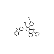 N#Cc1cccc(-c2c(C#N)c(-c3ccc4sc5ccccc5c4c3)cc(-c3cccc4c3sc3ccccc34)c2C#N)c1